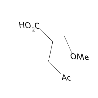 CC(=O)CCC(=O)O.COC